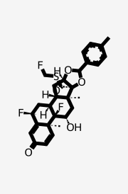 Cc1ccc(C2O[C@@H]3C[C@H]4[C@@H]5C[C@H](F)C6=CC(=O)C=C[C@]6(C)[C@@]5(F)[C@@H](O)C[C@]4(C)[C@]3(C(=O)SCF)O2)cc1